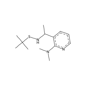 CC(NSC(C)(C)C)c1cccnc1N(C)C